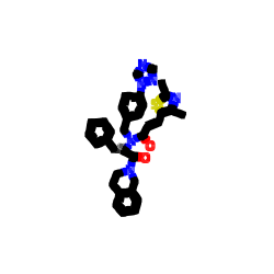 Cc1nc(C)c(C=CC(=O)N(Cc2ccc(-n3cncn3)cc2)[C@@H](Cc2ccccc2)C(=O)N2CCc3ccccc3C2)s1